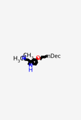 CCCCCCCCCCCCCCOc1ccc2[nH]cc(CCN(C)C)c2c1